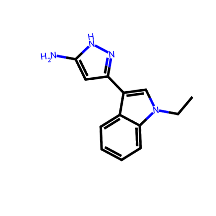 CCn1cc(-c2cc(N)[nH]n2)c2ccccc21